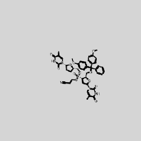 COc1ccc(C(OC[C@H]2O[C@@H](n3cc(C)c(=O)[nH]c3=O)C[C@@H]2P(=O)(OCCC#N)OC[C@@H]2[CH]C[C@H](n3cc(C)c(=O)[nH]c3=O)O2)(c2ccccc2)c2ccc(OC)cc2)cc1